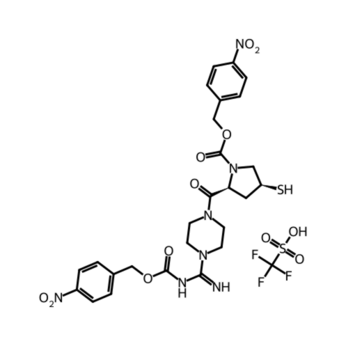 N=C(NC(=O)OCc1ccc([N+](=O)[O-])cc1)N1CCN(C(=O)[C@@H]2C[C@H](S)CN2C(=O)OCc2ccc([N+](=O)[O-])cc2)CC1.O=S(=O)(O)C(F)(F)F